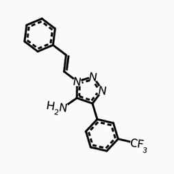 Nc1c(-c2cccc(C(F)(F)F)c2)nnn1C=Cc1ccccc1